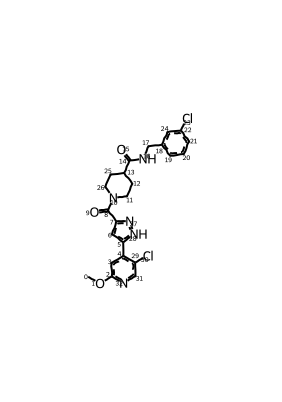 COc1cc(-c2cc(C(=O)N3CCC(C(=O)NCc4cccc(Cl)c4)CC3)n[nH]2)c(Cl)cn1